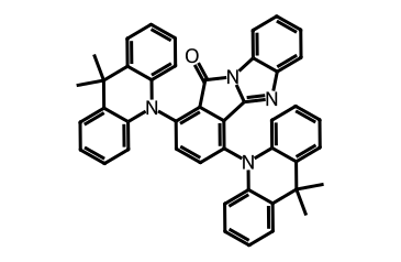 CC1(C)c2ccccc2N(c2ccc(N3c4ccccc4C(C)(C)c4ccccc43)c3c2C(=O)n2c-3nc3ccccc32)c2ccccc21